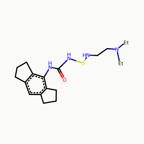 CCN(CC)CCNSNC(=O)Nc1c2c(cc3c1CCC3)CCC2